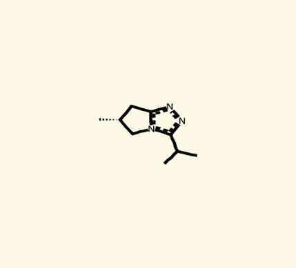 CC(C)c1nnc2n1C[C@H](C)C2